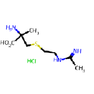 CC(=N)NCCSCC(C)(N)C(=O)O.Cl